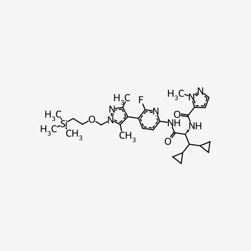 Cc1nn(COCC[Si](C)(C)C)c(C)c1-c1ccc(NC(=O)[C@@H](NC(=O)c2ccnn2C)C(C2CC2)C2CC2)nc1F